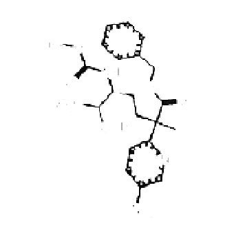 CC(C)(C)OC(=O)N[C@@H](CCC(C)(C(=O)OCc1ccccc1)c1ccc([N+](=O)[O-])cn1)C(C(=O)O)C(=O)O